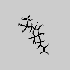 O=C(C(F)=C(F)F)C(F)(F)C(F)(C(=O)C(F)(F)C(F)(F)C(F)(F)S(=O)(=O)F)C(F)(F)F